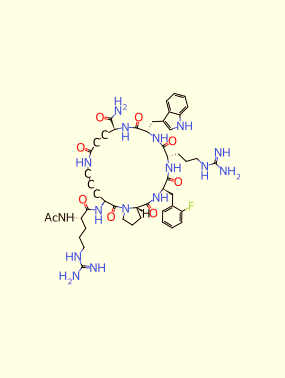 CC(=O)N[C@@H](CCCNC(=N)N)C(=O)N[C@H]1CCCNC(=O)CC[C@@H](C(N)=O)NC(=O)[C@H](Cc2c[nH]c3ccccc23)NC(=O)[C@H](CCCNC(=N)N)NC(=O)[C@@H](Cc2ccccc2F)NC(=O)[C@@H]2CCCN2C1=O